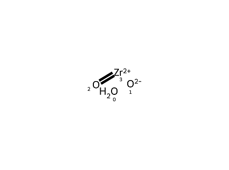 O.[O-2].[O]=[Zr+2]